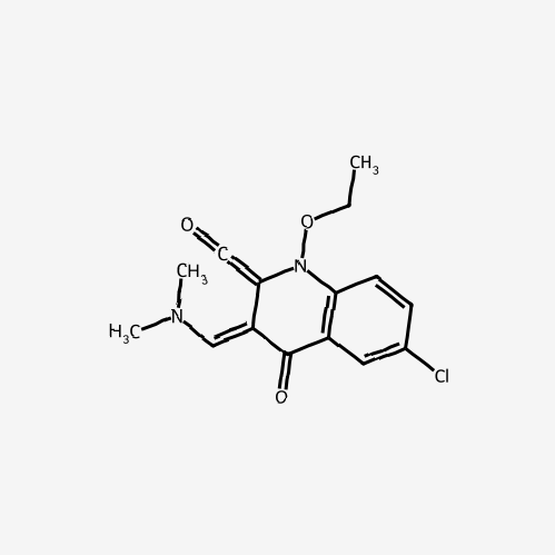 CCOn1c(=C=O)c(=CN(C)C)c(=O)c2cc(Cl)ccc21